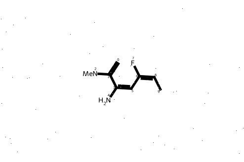 C=C(NC)/C(N)=C\C(F)=C/C